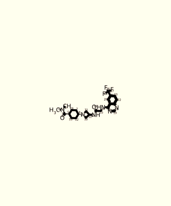 CN(C)C(=O)[C@H]1CC[C@H](N2CC(NC(=O)CNc3ncnc4ccc(C(F)(F)F)cc34)C2)CC1